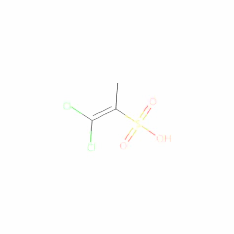 CC(=C(Cl)Cl)S(=O)(=O)O